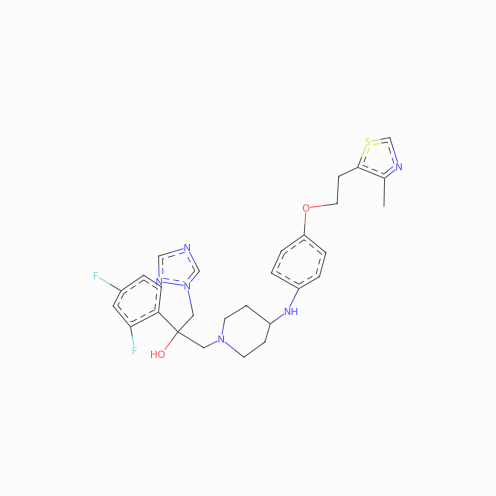 Cc1ncsc1CCOc1ccc(NC2CCN(CC(O)(Cn3cncn3)c3ccc(F)cc3F)CC2)cc1